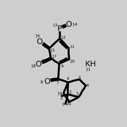 CC1(C)C2CCC1(C(=O)C1=CC=C(P=O)C(=O)C1=O)CC2.[KH]